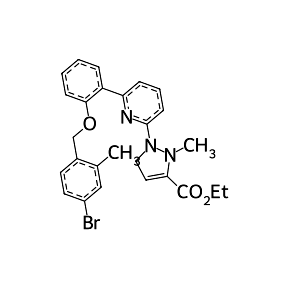 CCOC(=O)C1=CCN(c2cccc(-c3ccccc3OCc3ccc(Br)cc3C)n2)N1C